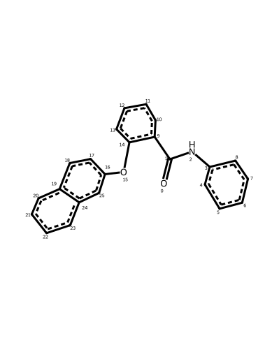 O=C(Nc1ccccc1)c1ccccc1Oc1ccc2ccccc2c1